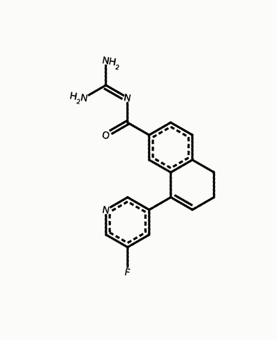 NC(N)=NC(=O)c1ccc2c(c1)C(c1cncc(F)c1)=CCC2